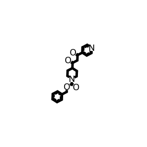 O=C(CC(=O)C1CCN(C(=O)OCc2ccccc2)CC1)c1ccncc1